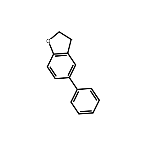 [CH]1COc2ccc(-c3ccccc3)cc21